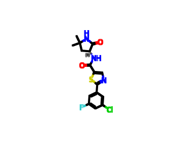 CC1(C)C[C@@H](NC(=O)c2cnc(-c3cc(F)cc(Cl)c3)s2)C(=O)N1